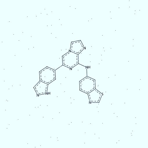 c1cn2cc(-c3ccc4cn[nH]c4c3)nc(Nc3ccc4ncsc4c3)c2n1